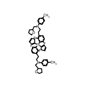 Cc1ccc(N(CCc2ccc(F)[c]([Ti]([C]3=CC=CC3)([C]3=CC=CC3)[c]3c(F)ccc(CCN(CC4CCCO4)c4ccc(C)cc4)c3F)c2F)CC2CCCO2)cc1